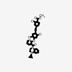 COC(=O)c1ccc(C#Cc2cc(Cl)c(Oc3ncccc3C(=O)N3CCN(C4CC4)c4ccccc43)cc2Cl)cc1Cl